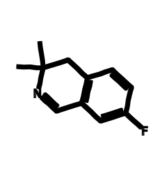 CC1(C)Cc2ccc(F)cc2C=N1